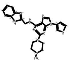 CN1CCN(c2nc(NCc3nc4ccccc4[nH]3)c3ncn(-c4ccsc4)c3n2)CC1